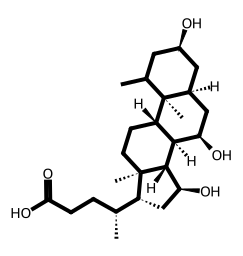 CC1C[C@@H](O)C[C@H]2C[C@@H](O)[C@H]3[C@@H]4[C@@H](O)C[C@H]([C@H](C)CCC(=O)O)[C@@]4(C)CC[C@@H]3[C@@]12C